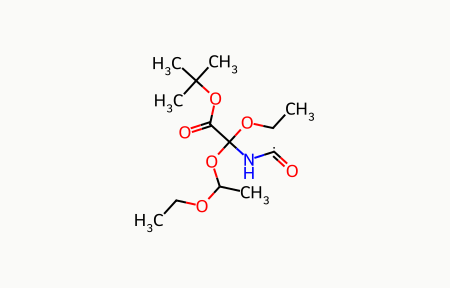 CCOC(C)OC(N[C]=O)(OCC)C(=O)OC(C)(C)C